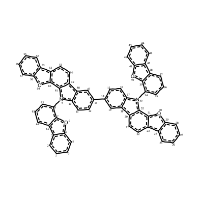 c1ccc2c(c1)oc1c(-n3c4ccc(-c5ccc6c(c5)c5ccc7c8ccccc8oc7c5n6-c5cccc6c5oc5ccccc56)cc4c4ccc5c6ccccc6oc5c43)cccc12